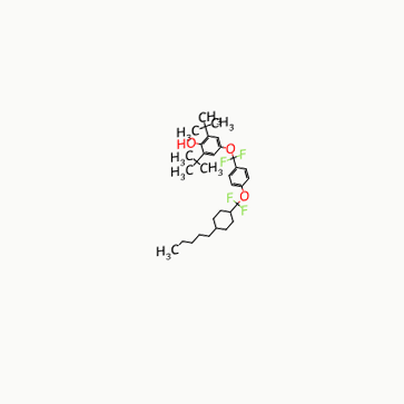 CCCCCC1CCC(C(F)(F)Oc2ccc(C(F)(F)Oc3cc(C(C)(C)C)c(O)c(C(C)(C)C)c3)cc2)CC1